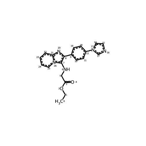 CCOC(=O)CNc1c(-c2ccc(-n3ccnc3)cc2)nc2ccccn12